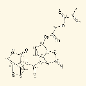 C=C(C)C(=O)OCC(=O)OC1C2CC3C1OC(=O)C3C2C(=O)OC1C2CC3C(=O)OC1C3O2